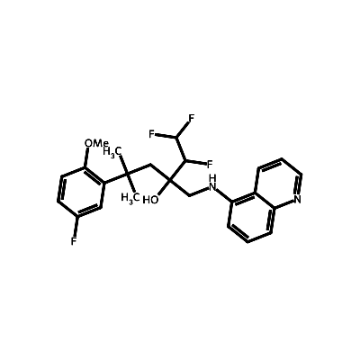 COc1ccc(F)cc1C(C)(C)CC(O)(CNc1cccc2ncccc12)C(F)C(F)F